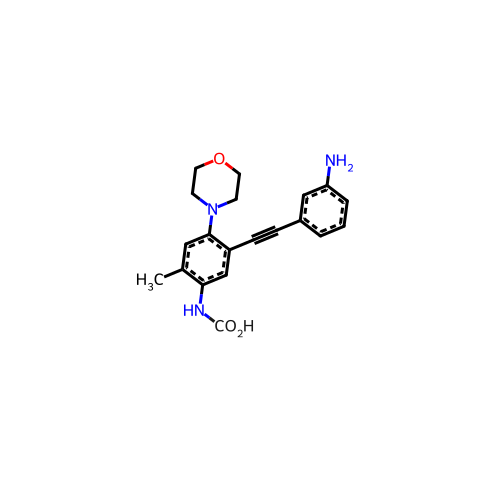 Cc1cc(N2CCOCC2)c(C#Cc2cccc(N)c2)cc1NC(=O)O